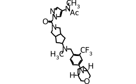 CC(=O)N(C)c1cnn(C(=O)N2CC3CC(N(C)Cc4ccc(N5[C@H]6CC[C@H]5COC6)cc4C(F)(F)F)CC3C2)c1